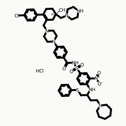 C[C@@]1(CN2CCNCC2)CCC(c2ccc(Cl)cc2)=C(CN2CCN(c3ccc(C(=O)NS(=O)(=O)c4ccc(NC(CCN5CCCCCC5)CSc5ccccc5)c([N+](=O)[O-])c4)cc3)CC2)C1.Cl